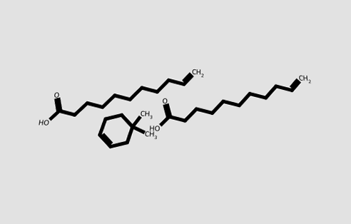 C=CCCCCCCCCC(=O)O.C=CCCCCCCCCC(=O)O.CC1(C)CC=CCC1